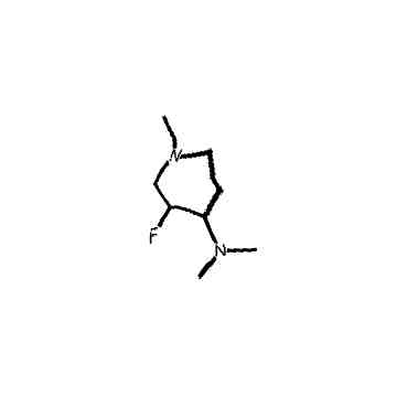 CN1CCC(N(C)C)C(F)C1